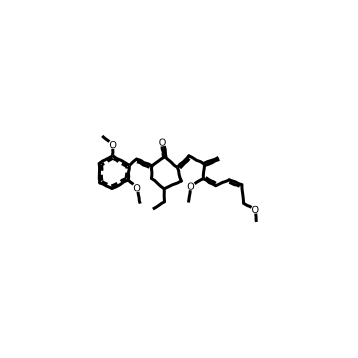 C=C(/C=C1\CC(CC)C/C(=C\c2c(OC)cccc2OC)C1=O)/C(=C\C=C/COC)OC